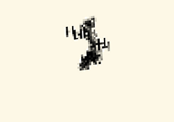 N[C@@H](CNc1ccc(CCNC[C@H](O)c2ccc(OCc3ccccc3)c3[nH]c(=O)ccc23)cc1)c1ccccc1